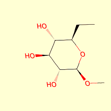 CC[C@H]1O[C@@H](OC)[C@H](O)[C@@H](O)[C@@H]1O